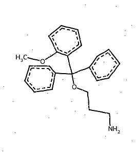 COc1ccccc1C(OCCCN)(c1ccccc1)c1ccccc1